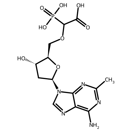 Cc1nc(N)c2ncn([C@H]3C[C@H](O)[C@@H](COC(C(=O)O)P(=O)(O)O)O3)c2n1